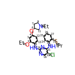 CCOc1cc(OC2CCN(CC)C2)ccc1Nc1ncc(Cl)c(Nc2ccccc2SC(C)C)n1